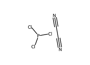 ClP(Cl)Cl.N#CC#N